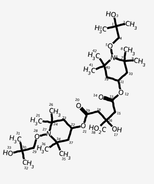 CC(C)(O)CON1C(C)(C)CC(OC(=O)CC(O)(CC(=O)OC2CC(C)(C)N(OCC(C)(C)O)C(C)(C)C2)C(=O)O)CC1(C)C